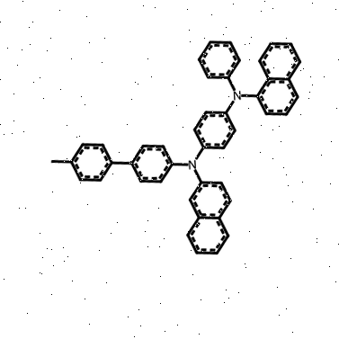 Cc1ccc(-c2ccc(N(c3ccc(N(c4ccccc4)c4cccc5ccccc45)cc3)c3ccc4ccccc4c3)cc2)cc1